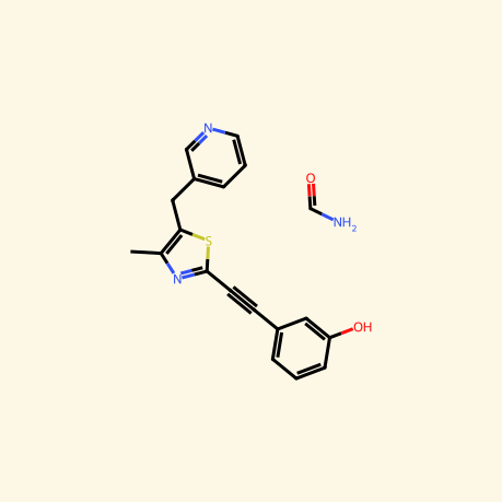 Cc1nc(C#Cc2cccc(O)c2)sc1Cc1cccnc1.NC=O